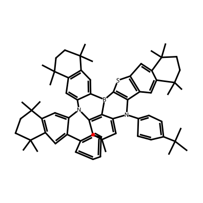 Cc1cc2c3c(c1)N(c1ccc(C(C)(C)C)cc1)c1c(sc4cc5c(cc14)C(C)(C)CCC5(C)C)B3c1cc3c(cc1N2c1cc2c(cc1-c1ccccc1)C(C)(C)CCC2(C)C)C(C)(C)CCC3(C)C